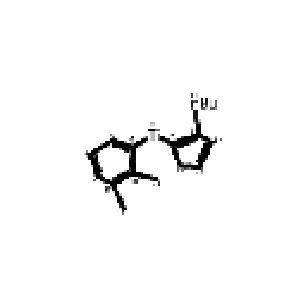 CCCCC1=[C]([Ti][c]2cccc(C)c2C)CC=C1